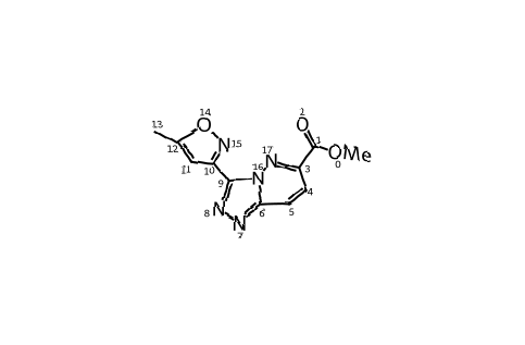 COC(=O)c1ccc2nnc(-c3cc(C)on3)n2n1